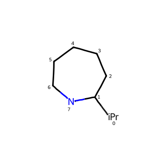 CC(C)C1CCCCC[N]1